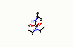 CCN(CC)S(=O)(=O)NC(C)C